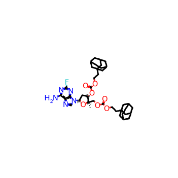 C[C@]1(COC(=O)OCCC23CC4CC(CC(C4)C2)C3)O[C@@H](n2cnc3c(N)nc(F)nc32)C[C@@H]1OC(=O)OCCC12CC3CC(CC(C3)C1)C2